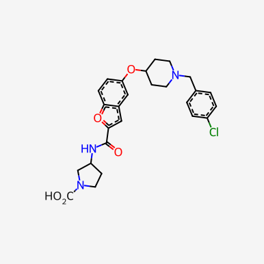 O=C(NC1CCN(C(=O)O)C1)c1cc2cc(OC3CCN(Cc4ccc(Cl)cc4)CC3)ccc2o1